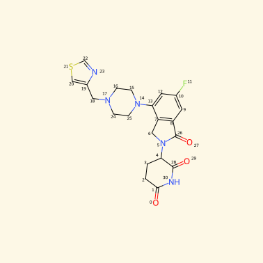 O=C1CCC(N2Cc3c(cc(F)cc3N3CCN(Cc4cscn4)CC3)C2=O)C(=O)N1